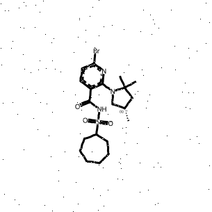 C[C@@H]1CN(c2nc(Br)ccc2C(=O)NS(=O)(=O)C2CCCCCC2)C(C)(C)C1